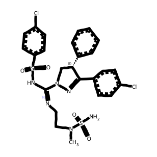 CN(CC/N=C(/NS(=O)(=O)c1ccc(Cl)cc1)N1C[C@H](c2ccccc2)C(c2ccc(Cl)cc2)=N1)S(N)(=O)=O